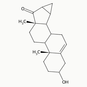 C[C@]12CCC(O)CC1=CCC1C2CC[C@]2(C)C(=O)C3CC3C12